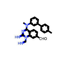 Cc1ccc(-c2cccc(N(C)c3nc(=N)n(C=N)c4cc(C=O)ccc34)c2)cc1